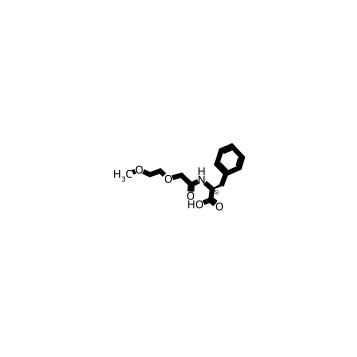 COCCOCC(=O)N[C@@H](Cc1ccccc1)C(=O)O